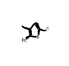 CC(=O)c1sc(Cl)cc1C